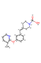 Cc1cccnc1Oc1cccc(C=C2CCN(C(=O)O)CC2)c1